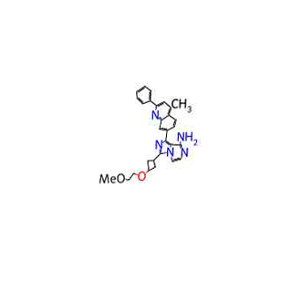 COCCOC1CC(c2nc(-c3ccc4c(C)cc(-c5ccccc5)nc4c3)c3c(N)nccn23)C1